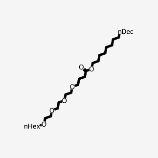 CCCCCCCCCCCCCCCCCCOC(=O)CCCOCCOCCOCCOCCCCCC